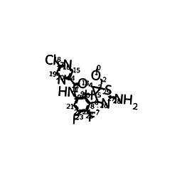 COC[C@]12C[C@H]1[C@](C)(c1cc(NC(=O)c3cnc(Cl)cn3)cc(F)c1F)N=C(N)S2